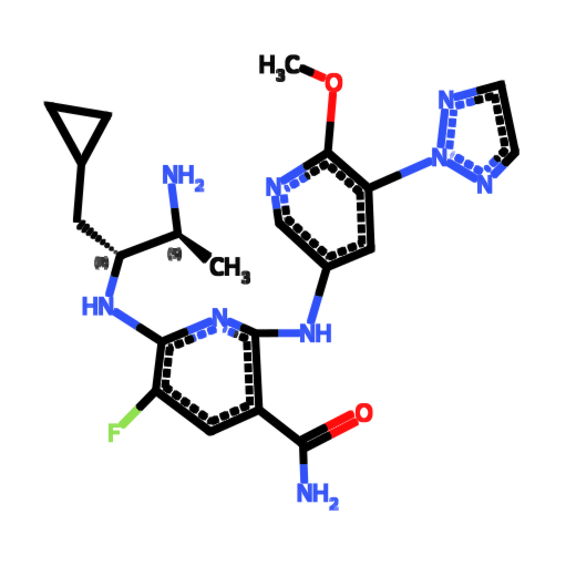 COc1ncc(Nc2nc(N[C@H](CC3CC3)[C@H](C)N)c(F)cc2C(N)=O)cc1-n1nccn1